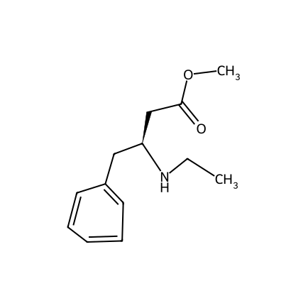 CCN[C@H](CC(=O)OC)Cc1ccccc1